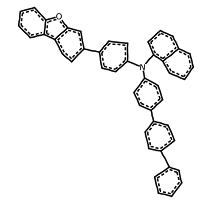 c1ccc(-c2ccc(-c3ccc(N(c4ccc(-c5ccc6c(c5)oc5ccccc56)cc4)c4cccc5ccccc45)cc3)cc2)cc1